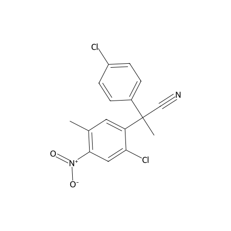 Cc1cc(C(C)(C#N)c2ccc(Cl)cc2)c(Cl)cc1[N+](=O)[O-]